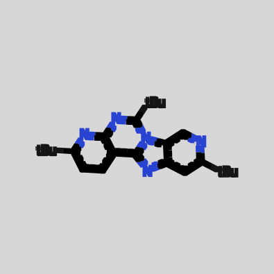 CC(C)(C)c1cc2nc3c4ccc(C(C)(C)C)nc4nc(C(C)(C)C)n3c2cn1